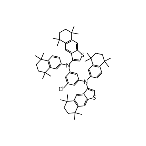 CC1(C)CCC(C)(C)c2cc(N(c3cc(Cl)cc(N(c4ccc5c(c4)C(C)(C)CCC5(C)C)c4csc5cc6c(cc45)C(C)(C)CCC6(C)C)c3)c3csc4cc5c(cc34)C(C)(C)CCC5(C)C)ccc21